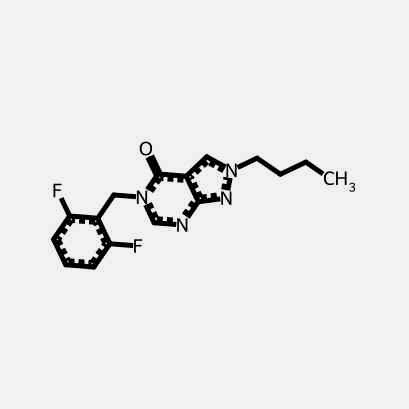 CCCCn1cc2c(=O)n(Cc3c(F)cccc3F)cnc2n1